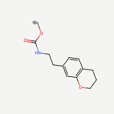 CC(C)(C)OC(=O)NCCc1ccc2c(c1)OCCC2